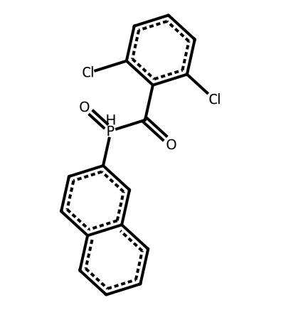 O=C(c1c(Cl)cccc1Cl)[PH](=O)c1ccc2ccccc2c1